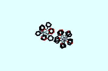 c1cc[c]([Ge]([c]2ccccc2)([c]2ccccc2)[GeH]([Ge]([c]2ccccc2)([c]2ccccc2)[c]2ccccc2)[Ge]([c]2ccccc2)([c]2ccccc2)[c]2ccccc2)cc1.c1cc[c]([Ge]2([c]3ccccc3)[Ge]([c]3ccccc3)([c]3ccccc3)[Ge]([c]3ccccc3)([c]3ccccc3)[Ge]([c]3ccccc3)([c]3ccccc3)[Ge]2([c]2ccccc2)[c]2ccccc2)cc1